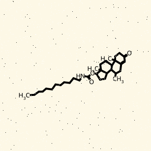 CCCCCCCCCCCCNC(=O)OC1CCC2C3C(C)CC4=CC(=O)CCC4(C)C3CCC12C